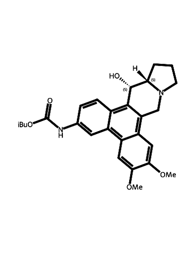 COc1cc2c3c(c4ccc(NC(=O)OCC(C)C)cc4c2cc1OC)[C@H](O)[C@@H]1CCCN1C3